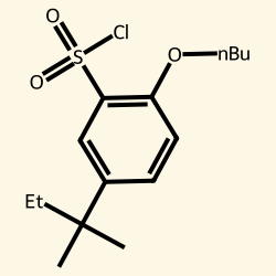 CCCCOc1ccc(C(C)(C)CC)cc1S(=O)(=O)Cl